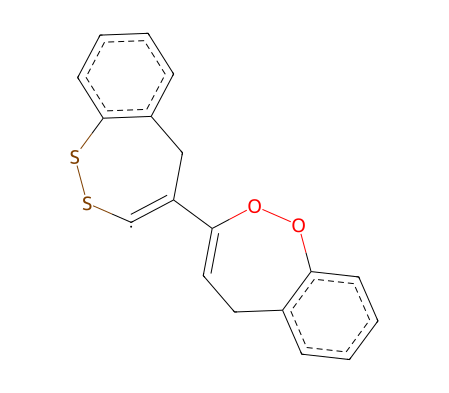 [C]1=C(C2=CCc3ccccc3OO2)Cc2ccccc2SS1